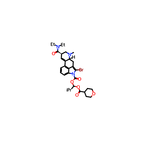 CCN(CC)C(=O)[C@@H]1C=C2c3cccc4c3c(c(Br)n4C(=O)OC(OC(=O)C3CCOCC3)C(C)C)C[C@H]2N(C)C1